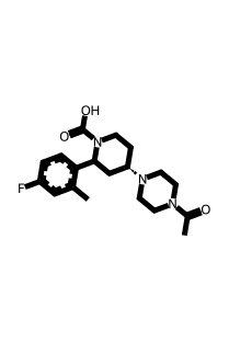 CC(=O)N1CCN([C@H]2CCN(C(=O)O)C(c3ccc(F)cc3C)C2)CC1